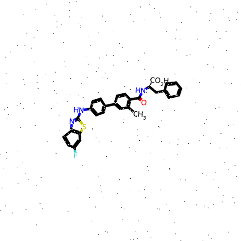 Cc1cc(-c2ccc(Nc3nc4ccc(F)cc4s3)cc2)ccc1C(=O)N[C@@H](Cc1ccccc1)C(=O)O